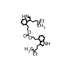 CCN(C)CCc1c[nH]c2cccc(CCOC(=O)OCCc3cccc4[nH]cc(CCN(C)CC)c34)c12